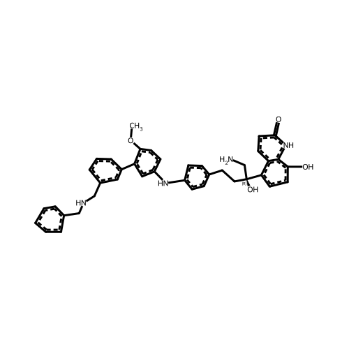 COc1ccc(Nc2ccc(CC[C@](O)(CN)c3ccc(O)c4[nH]c(=O)ccc34)cc2)cc1-c1cccc(CNCc2ccccc2)c1